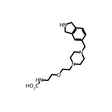 O=C(O)NCCOCCN1CCN(Cc2ccc3c(c2)CNC3)CC1